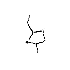 CCC1NC(C)CS1